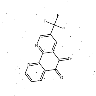 O=C1C(=O)c2cc(C(F)(F)F)cnc2-c2ncccc21